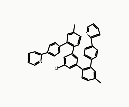 Cc1ccc(-c2cc(Cl)cc(-c3ccc(C)cc3-c3ccc(-c4ccccn4)cc3)c2)c(-c2ccc(-c3ccccn3)cc2)c1